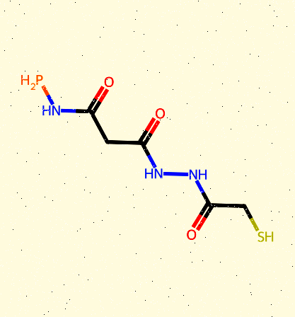 O=C(CC(=O)NNC(=O)CS)NP